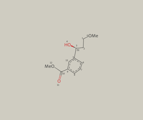 COCC[C@H](O)c1cccc(C(=O)OC)c1